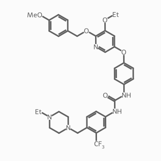 CCOc1cc(Oc2ccc(NC(=O)Nc3ccc(CN4CCN(CC)CC4)c(C(F)(F)F)c3)cc2)cnc1OCc1ccc(OC)cc1